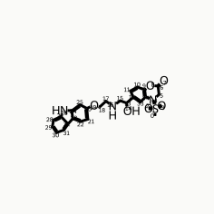 CS(=O)(=O)N1CC(=O)Oc2ccc(C(O)CNCCOc3ccc4c(c3)[nH]c3ccccc34)cc21